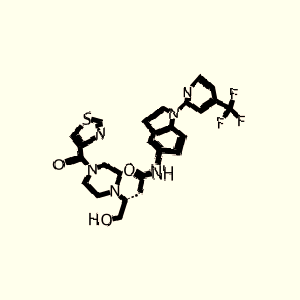 O=C(C[C@H](CO)N1CCN(C(=O)c2cscn2)CC1)Nc1ccc2c(ccn2-c2cc(C(F)(F)F)ccn2)c1